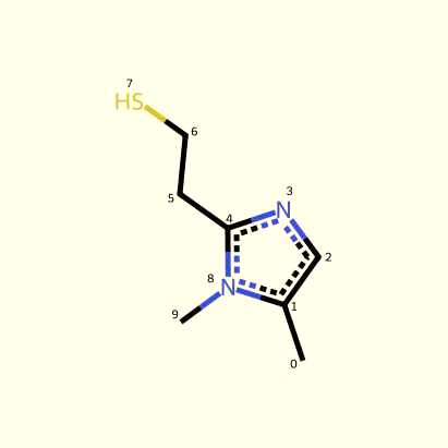 Cc1cnc(CCS)n1C